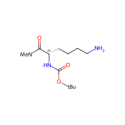 CNC(=O)[C@H](CCCCN)NC(=O)OC(C)(C)C